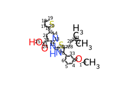 CCOc1cccc(-c2nc(NC3=NCC(c4cccs4)C=C3C(=O)O)sc2CCC(C)C)c1